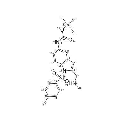 CNCc1cc2nc(NC(=O)OC(C)(C)C)ccc2n1S(=O)(=O)c1ccc(C)cc1